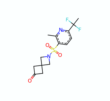 Cc1nc(C(C)(F)F)ccc1S(=O)(=O)N1CC2(CC(=O)C2)C1